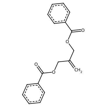 C=C(COC(=O)c1ccccc1)COC(=O)c1ccccc1